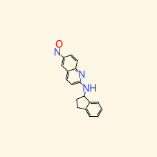 O=Nc1ccc2nc(N[C@@H]3CCc4ccccc43)ccc2c1